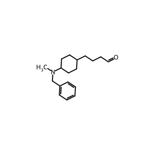 CN(Cc1ccccc1)C1CCC(CCCC=O)CC1